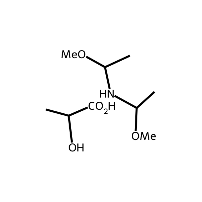 CC(O)C(=O)O.COC(C)NC(C)OC